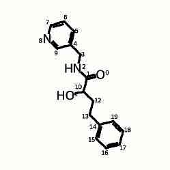 O=C(NCc1cccnc1)C(O)CCc1ccccc1